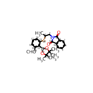 CC(CN1C(=O)c2ccccc2C1=O)Sc1cccc(C=O)c1B1OC(C)(C)C(C)(C)O1